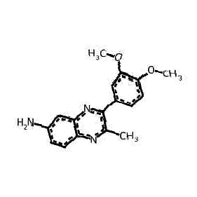 COc1ccc(-c2nc3cc(N)ccc3nc2C)cc1OC